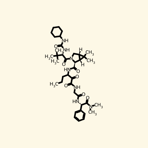 CCCC(NC(=O)[C@@H]1[C@@H]2[C@H](CN1C(=O)[C@@H](NC(=O)NC1CCCCC1)C(C)(C)C)C2(C)C)C(=O)C(=O)NCC(=O)N[C@H](C(=O)N(C)C)c1ccccc1